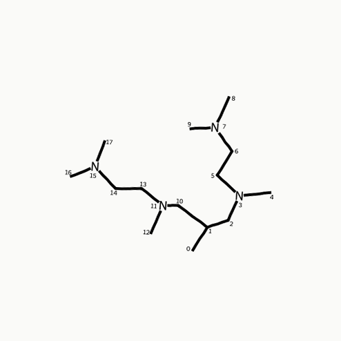 CC(CN(C)CCN(C)C)CN(C)CCN(C)C